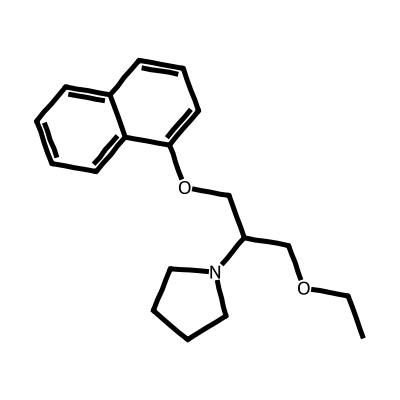 CCOCC(COc1cccc2ccccc12)N1CCCC1